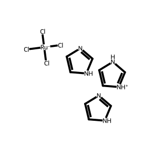 [Cl][Ru-]([Cl])([Cl])[Cl].c1c[nH+]c[nH]1.c1c[nH]cn1.c1c[nH]cn1